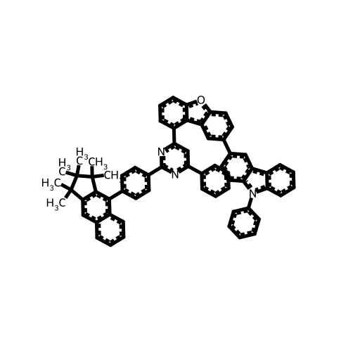 CC1(C)c2cc3ccccc3c(-c3ccc(-c4nc(-c5ccccc5)cc(-c5cccc6oc7ccc(-c8ccc9c(c8)c8ccccc8n9-c8ccccc8)cc7c56)n4)cc3)c2C(C)(C)C1(C)C